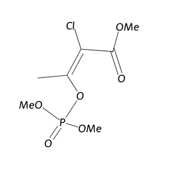 COC(=O)C(Cl)=C(C)OP(=O)(OC)OC